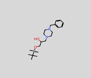 CC(C)(C)[Si](C)(C)OCC(O)CN1CCN(Cc2ccccc2)CC1